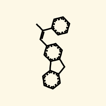 CC(=Cc1ccc2c(c1)-c1ccccc1C2)c1ccccc1